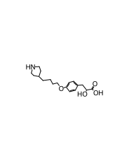 O=C(O)C(O)Cc1ccc(OCCCCC2CCNCC2)cc1